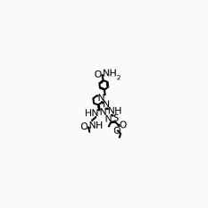 CCOC(=O)c1sc(Nc2nc(NCCNC(C)=O)c3c(n2)N(Cc2ccc(C(N)=O)cc2)CCC3)nc1C